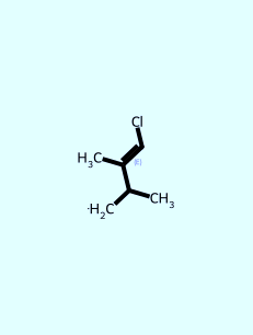 [CH2]C(C)/C(C)=C/Cl